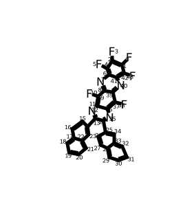 Fc1c(F)c(F)c2nc3c(F)c4nc(-c5ccc6ccccc6c5)c(-c5ccc6ccccc6c5)nc4c(F)c3nc2c1F